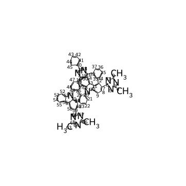 Cc1nc(C)nc(-c2ccc3c(c2)c2ccccc2n3-c2ccccc2-c2cc(-c3cc(-c4ccccc4)nc(-c4ccccc4)n3)ccc2-n2c3ccccc3c3cc(-c4nc(C)nc(C)n4)ccc32)n1